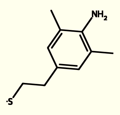 Cc1cc(CC[S])cc(C)c1N